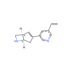 C=Cc1cncc(C2=C[C@@H]3CN[C@@H]3C2)c1